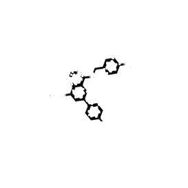 CCOc1ccc(CNc2ncnc3c(OC)cc(-c4ccc(F)cc4)cc23)cc1